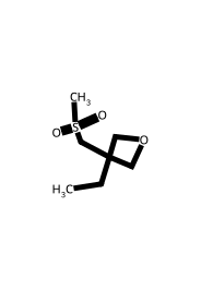 CCC1(CS(C)(=O)=O)COC1